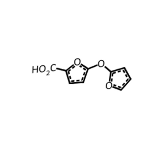 O=C(O)c1ccc(Oc2ccco2)o1